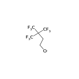 [O]CCC(C(F)(F)F)(C(F)(F)F)C(F)(F)F